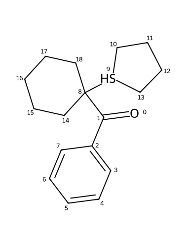 O=C(c1ccccc1)C1([SH]2CCCC2)CCCCC1